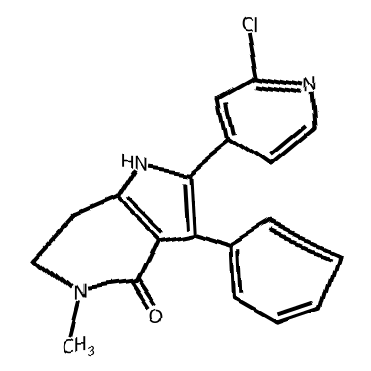 CN1CCc2[nH]c(-c3ccnc(Cl)c3)c(-c3ccccc3)c2C1=O